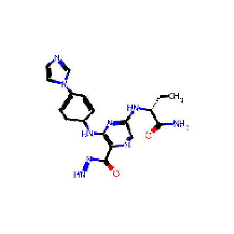 CC[C@@H](Nc1cnc(C(=O)N=N)c(NC2C=CC(n3ccnc3)=CC2)n1)C(N)=O